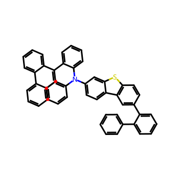 c1ccc(-c2ccccc2-c2ccc3sc4cc(N(c5ccccc5)c5ccccc5-c5cc6ccccc6c6ccccc56)ccc4c3c2)cc1